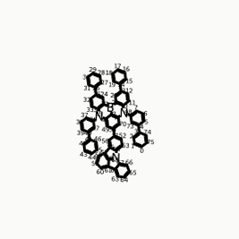 c1ccc(-c2cccc(N3c4ccc(-c5ccccc5)cc4B4c5cc(-c6ccccc6)ccc5N(c5cccc(-c6ccccc6)c5)c5cc(-c6ccc7c(c6)c6cccc8c9ccccc9n7c86)cc3c54)c2)cc1